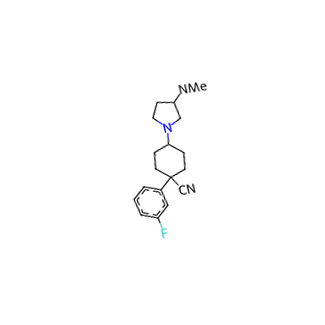 CNC1CCN(C2CCC(C#N)(c3cccc(F)c3)CC2)C1